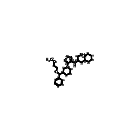 COCCOC(c1ccccc1)C1CCCN(c2nsnc2NC(CN)CC2CCCCC2)C1